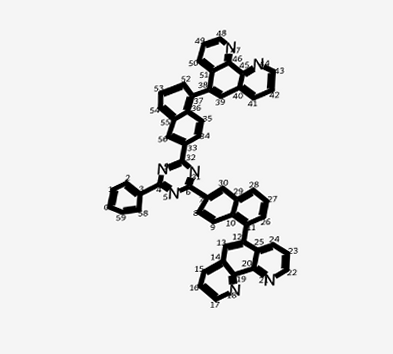 c1ccc(-c2nc(-c3ccc4c(-c5cc6cccnc6c6ncccc56)cccc4c3)nc(-c3ccc4c(-c5cc6cccnc6c6ncccc56)cccc4c3)n2)cc1